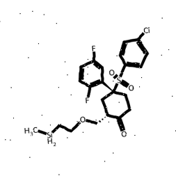 C[SiH2]CCOC[C@@H]1C[C@](c2cc(F)ccc2F)(S(=O)(=O)c2ccc(Cl)cc2)CCC1=O